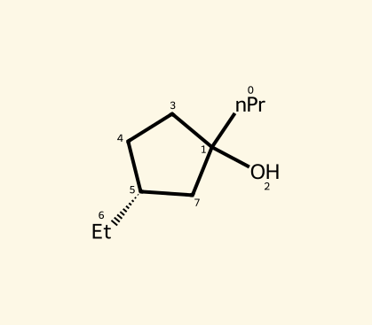 CCCC1(O)CC[C@@H](CC)C1